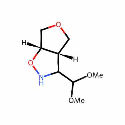 COC(OC)C1NO[C@@H]2COC[C@H]12